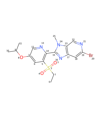 CCS(=O)(=O)c1cc(OC(C)C)cnc1-c1nc2cc(Br)ncc2n1C